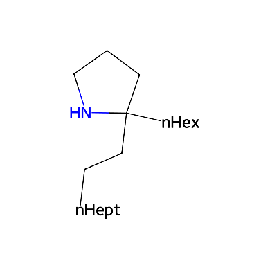 CCCCCCCCCC1(CCCCCC)CCCN1